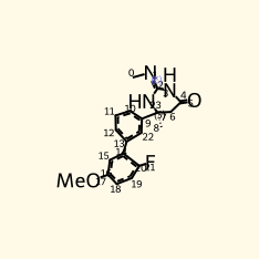 C/N=C1/NC(=O)C[C@@](C)(c2cccc(-c3cc(OC)ccc3F)c2)N1